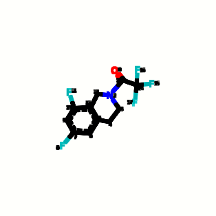 O=C(N1CCc2cc(F)cc(F)c2C1)C(F)(F)F